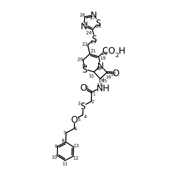 O=C(CSCOCCc1ccccc1)N[C@H]1C(=O)N2C(C(=O)O)=C(CSc3ncns3)CSC12